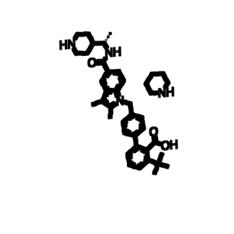 C1CCNCC1.Cc1c(C)n(Cc2ccc(-c3cccc(C(C)(C)C)c3C(=O)O)cc2)c2ccc(C(=O)N[C@@H](C)C3CCNCC3)cc12